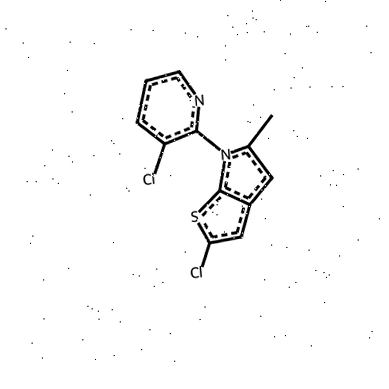 Cc1cc2cc(Cl)sc2n1-c1ncccc1Cl